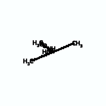 CCCCCCCCCCCCCCCCCCC(CCCCCCCCCCCCCCCCC)OC(O)NCCCOCCOC